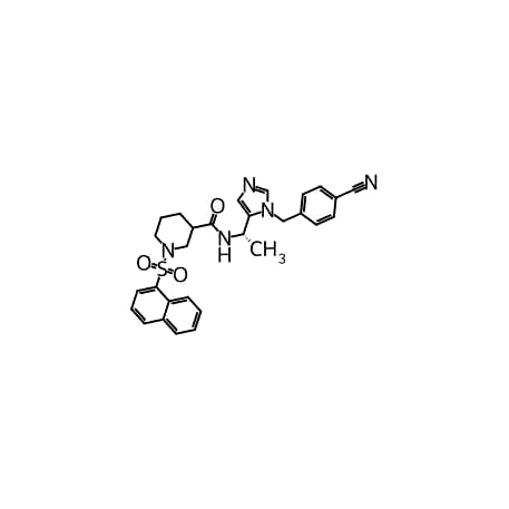 C[C@H](NC(=O)C1CCCN(S(=O)(=O)c2cccc3ccccc23)C1)c1cncn1Cc1ccc(C#N)cc1